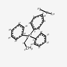 CC[P+](c1ccccc1)(c1ccccc1)c1ccccc1.I[I-]I